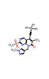 Cc1c(C#C[Si](C(C)C)(C(C)C)C(C)C)c2cnc(S(C)(=O)=O)nc2n(Cc2cnn(C)c2)c1=O